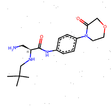 CC(C)(C)CN[C@@H](CN)C(=O)Nc1ccc(N2CCOCC2=O)cc1